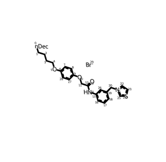 CCCCCCCCCCCCCCOc1ccc(OCC(=O)Nc2cccc(C[n+]3ccsc3)c2)cc1.[Br-]